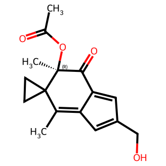 CC(=O)O[C@@]1(C)C(=O)C2=CC(CO)=CC2=C(C)C12CC2